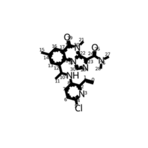 C=Cc1nc(Cl)ccc1NC(C)c1cc(C)cc2c(=O)n(C)c3c(C(=O)N(C)C)ncn3c12